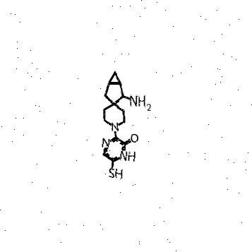 NC1C2CC2CC12CCN(c1ncc(S)[nH]c1=O)CC2